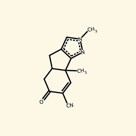 Cn1cc2c(n1)C1(C)C=C(C#N)C(=O)CC1C2